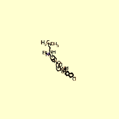 CC/N=C(\NCCCN(C)C)N1CC2CC(CN(C(=O)CN3CCC[C@H](NS(=O)(=O)c4ccc5cc(Cl)ccc5c4)C3=O)C2)C1